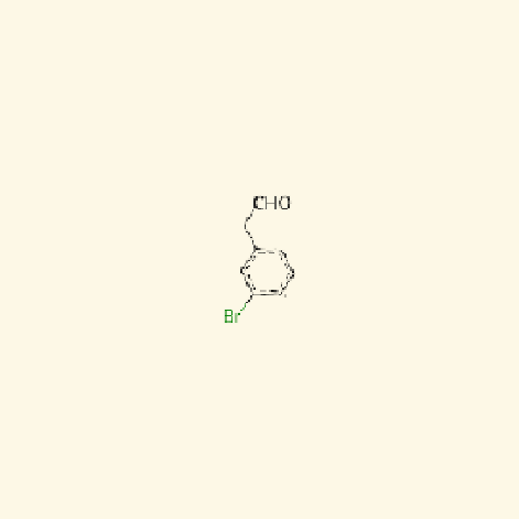 O=CCc1cc[c]c(Br)c1